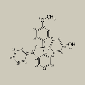 COc1ccc(C2(c3ccc(O)cc3)CC(c3ccccc3)c3ccccc32)cc1